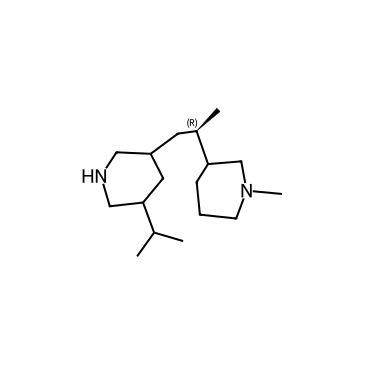 CC(C)C1CNCC(C[C@@H](C)C2CCCN(C)C2)C1